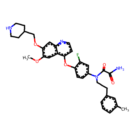 COc1cc2c(Oc3ccc(N(CCc4cccc(C)c4)C(=O)C(N)=O)cc3F)ccnc2cc1OCC1CCNCC1